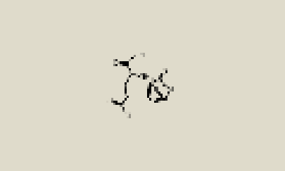 N[C@@H](CCC(=O)O)C(=O)O.O=c1[nH]c2ccc1cc2